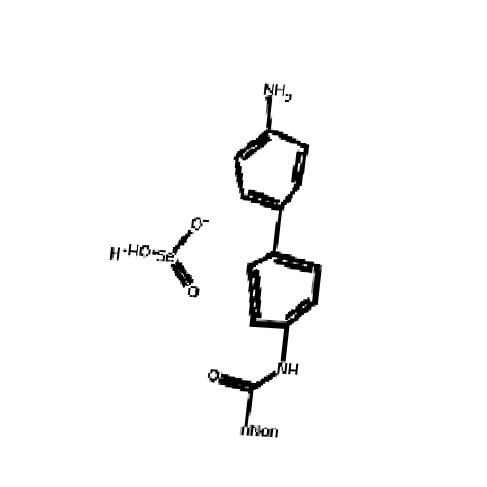 CCCCCCCCCC(=O)Nc1ccc(-c2ccc(N)cc2)cc1.O=[Se]([O-])O.[H+]